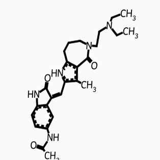 CCN(CC)CCN1CCCc2[nH]c(C=C3C(=O)Nc4ccc(NC(C)=O)cc43)c(C)c2C1=O